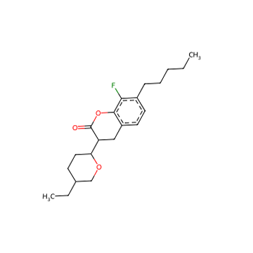 CCCCCc1ccc2c(c1F)OC(=O)C(C1CCC(CC)CO1)C2